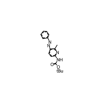 Cc1nc(NC(=O)OC(C)(C)C)ccc1/N=N/c1ccccc1